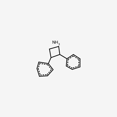 N.c1ccc(C2CCC2c2ccccc2)cc1